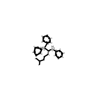 CC(C)CCC[C@H]([SiH2]c1ccccc1)[SiH](c1ccccc1)c1ccccc1